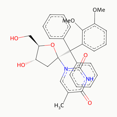 COc1cccc(C(c2ccccc2)(c2ccccc2)[C@]2(n3cc(C)c(=O)[nH]c3=O)C[C@H](O)[C@@H](CO)O2)c1OC